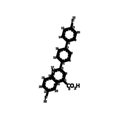 O=C(O)c1cc(-c2ccc(-c3ccc(F)cc3)cc2)nc2ccc(F)cc12